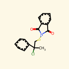 CC(Cl)(CSN1C(=O)c2ccccc2C1=O)c1ccccc1